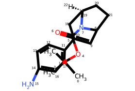 CC(C)(C)OC(=O)N1C2C=C(c3ccc(N)cc3)C[C@H]1CC2